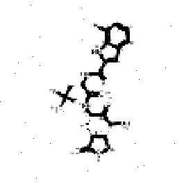 CC(F)(F)C[C@H](NC(=O)c1cc2cccc(F)c2[nH]1)C(=O)N[C@@H](C[C@@H]1CCNC1=O)C(=O)CO